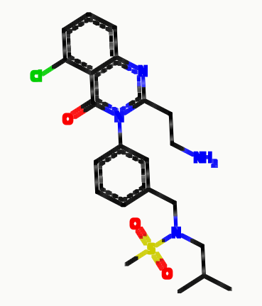 CC(C)CN(Cc1cccc(-n2c(CCN)nc3cccc(Cl)c3c2=O)c1)S(C)(=O)=O